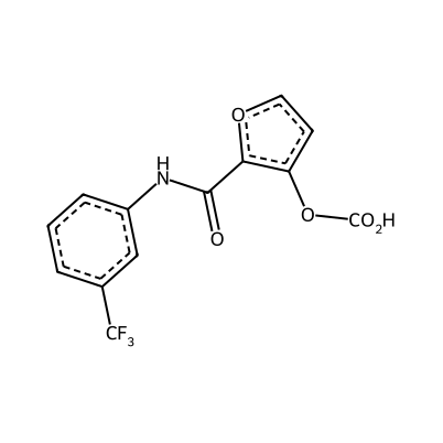 O=C(O)Oc1ccoc1C(=O)Nc1cccc(C(F)(F)F)c1